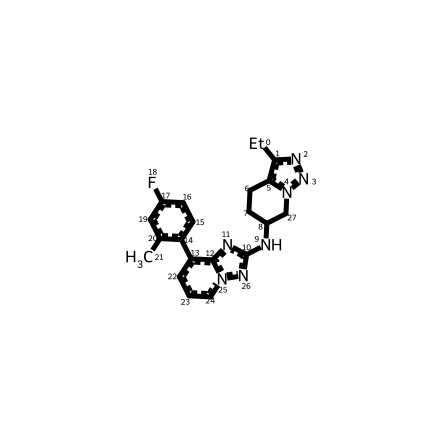 CCc1nnn2c1CCC(Nc1nc3c(-c4ccc(F)cc4C)cccn3n1)C2